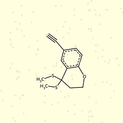 [C]#Cc1ccc2c(c1)C(SC)(SC)CCO2